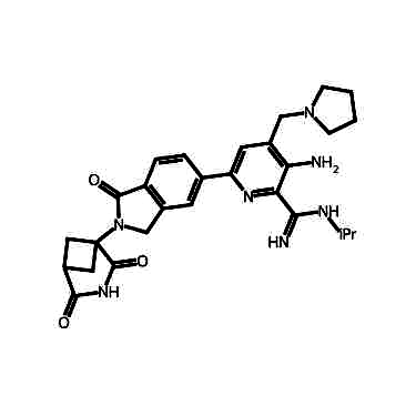 CC(C)NC(=N)c1nc(-c2ccc3c(c2)CN(C24CC(C2)C(=O)NC4=O)C3=O)cc(CN2CCCC2)c1N